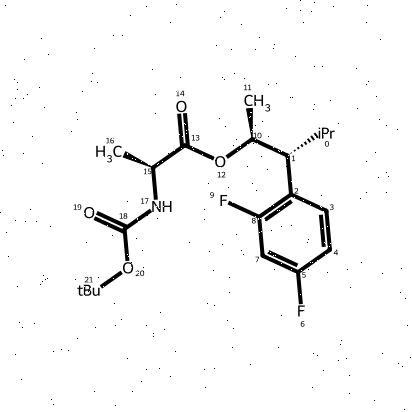 CC(C)[C@H](c1ccc(F)cc1F)[C@H](C)OC(=O)[C@H](C)NC(=O)OC(C)(C)C